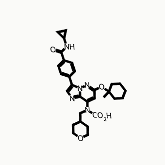 CC1(Oc2cc(N(CC3CCOCC3)C(=O)O)c3ncc(-c4ccc(C(=O)NC5CC5)cc4)n3n2)CCCCC1